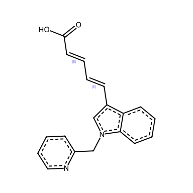 O=C(O)/C=C/C=C/c1cn(Cc2ccccn2)c2ccccc12